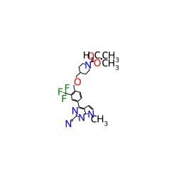 Cn1ccc2c(-c3ccc(COCC4CCN(C(=O)OC(C)(C)C)CC4)c(C(F)(F)F)c3)nc(C#N)nc21